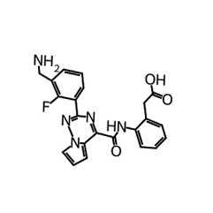 NCc1cccc(-c2nc(C(=O)Nc3ccccc3CC(=O)O)c3cccn3n2)c1F